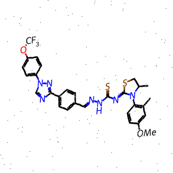 COc1ccc(N2/C(=N/C(=S)N/N=C/c3ccc(-c4ncn(-c5ccc(OC(F)(F)F)cc5)n4)cc3)SCC2C)c(C)c1